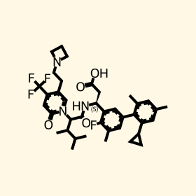 Cc1cc(C)c(-c2cc(C)c(F)c([C@H](CC(=O)O)NC(=O)C(C(C)C(C)C)n3cc(CCN4CCC4)c(C(F)(F)F)cc3=O)c2)c(C2CC2)c1